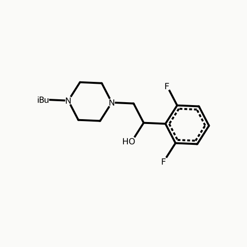 CCC(C)N1CCN(CC(O)c2c(F)cccc2F)CC1